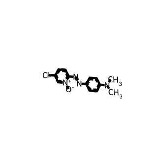 CN(C)c1ccc(N=Nc2ccc(Cl)c[n+]2[O-])cc1